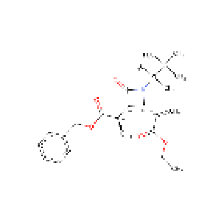 C=C(C(=O)OCC)[C@@H]1[C@H]([C@@H](C)C(=O)OCc2ccccc2)C(=O)N1[Si](C)(C)C(C)(C)C